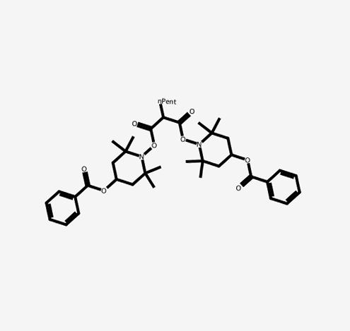 CCCCCC(C(=O)ON1C(C)(C)CC(OC(=O)c2ccccc2)CC1(C)C)C(=O)ON1C(C)(C)CC(OC(=O)c2ccccc2)CC1(C)C